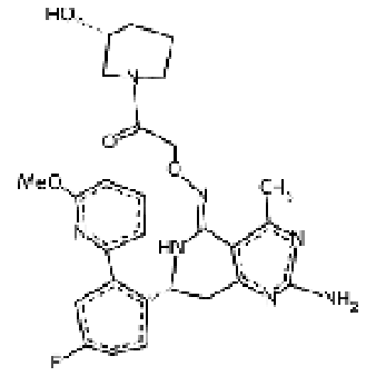 COc1cccc(-c2cc(F)ccc2[C@H]2Cc3nc(N)nc(C)c3/C(=N/OCC(=O)N3CCC[C@@H](O)C3)N2)n1